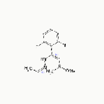 C/C=N\N/C(=C\N(C)OC)c1c(F)cccc1F